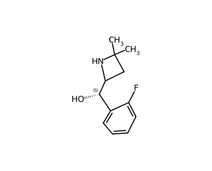 CC1(C)CC([C@@H](O)c2ccccc2F)N1